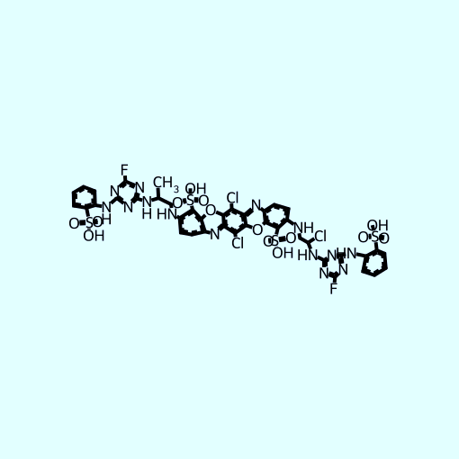 CC(CNc1ccc2c(c1S(=O)(=O)O)Oc1c(Cl)c3c(c(Cl)c1=N2)Oc1c(ccc(NCC(Cl)Nc2nc(F)nc(Nc4ccccc4S(=O)(=O)O)n2)c1S(=O)(=O)O)N=3)Nc1nc(F)nc(Nc2ccccc2S(=O)(=O)O)n1